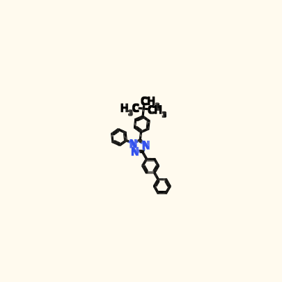 CC(C)(C)c1ccc(-c2nc(-c3ccc(-c4ccccc4)cc3)nn2-c2ccccc2)cc1